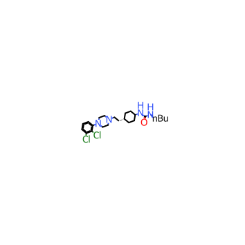 CCCCNC(=O)N[C@H]1CC[C@H](CCN2CCN(c3cccc(Cl)c3Cl)CC2)CC1